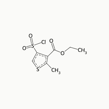 CCOC(=O)c1c(S(=O)(=O)Cl)csc1C